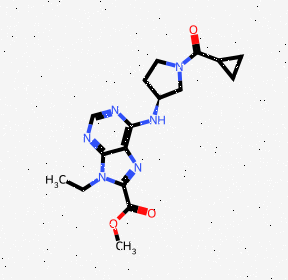 CCn1c(C(=O)OC)nc2c(N[C@H]3CCN(C(=O)C4CC4)C3)ncnc21